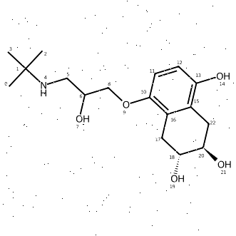 CC(C)(C)NCC(O)COc1ccc(O)c2c1C[C@@H](O)[C@H](O)C2